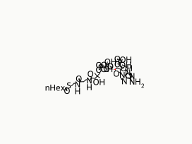 CCCCCCC(=O)SCCNC(=O)CCNC(=O)C(O)C(C)(C)COP(=O)(O)OP(=O)(O)OC[C@H]1O[C@@H](n2cnc3c(N)ncnc32)[C@H](O)[C@@H]1OP(=O)(O)O